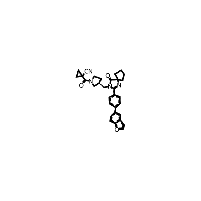 N#CC1(C(=O)N2CC[C@@H](CN3C(=O)C4(CCCC4)N=C3c3ccc(-c4ccc5occc5c4)cc3)C2)CC1